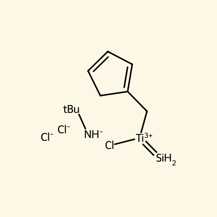 CC(C)(C)[NH-].[Cl-].[Cl-].[SiH2]=[Ti+3]([Cl])[CH2]C1=CC=CC1